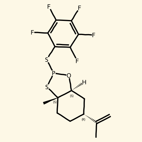 C=C(C)[C@@H]1CC[C@]2(C)SP(Sc3c(F)c(F)c(F)c(F)c3F)O[C@H]2C1